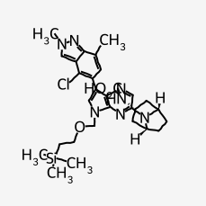 Cc1cc(-c2cn(COCC[Si](C)(C)C)c3nc(N4[C@@H]5CC[C@H]4C[C@@H](NC(=O)O)C5)cnc23)c(Cl)c2cn(C)nc12